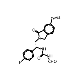 CCOc1ccc2c(c1)C(=O)N(C[C@H](NC(=O)NC=O)c1ccc(F)cc1)C2